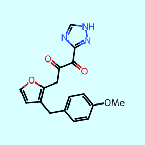 COc1ccc(Cc2ccoc2CC(=O)C(=O)c2nc[nH]n2)cc1